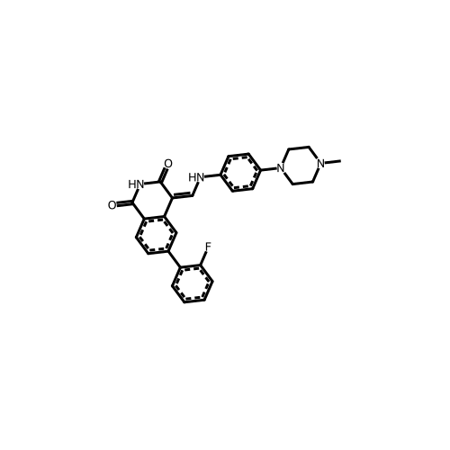 CN1CCN(c2ccc(N/C=C3\C(=O)NC(=O)c4ccc(-c5ccccc5F)cc43)cc2)CC1